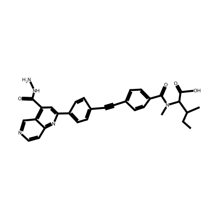 CCC(C)C(C(=O)O)N(C)C(=O)c1ccc(C#Cc2ccc(-c3cc(C(=O)NN)c4cnccc4n3)cc2)cc1